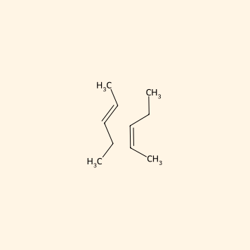 C/C=C/CC.C/C=C\CC